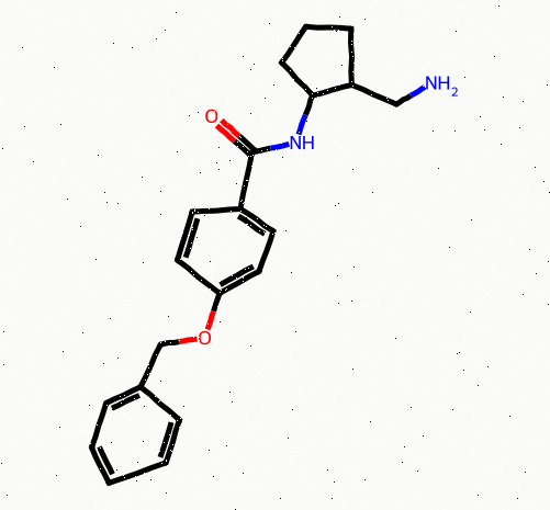 NCC1CCCC1NC(=O)c1ccc(OCc2ccccc2)cc1